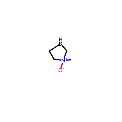 C[N+]1([O-])CBCC1